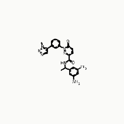 CC(NC(=O)c1ccc(=O)n(-c2cccc(-c3cnnn3C)c2)n1)c1cc(N)cc(C(F)(F)F)c1